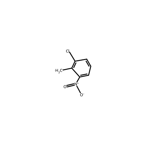 [CH2]c1c(Cl)cccc1[N+](=O)[O-]